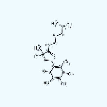 CC1=C(C)C(=O)C(CCC(C)(O)C(=O)NCCCN(C)C)=C(C)C1=O